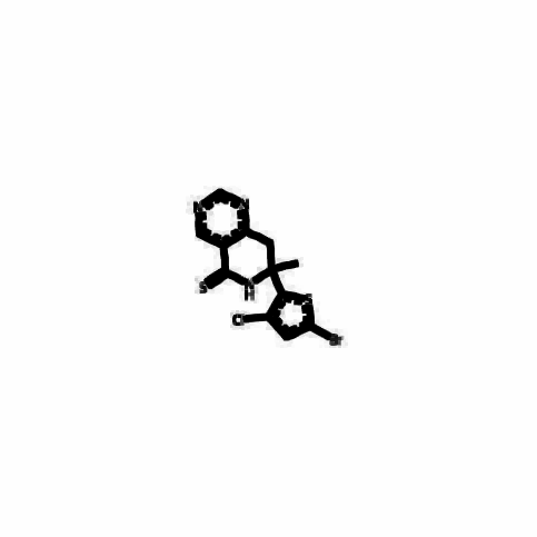 CC1(c2sc(Br)cc2Cl)Cc2ncncc2C(=S)N1